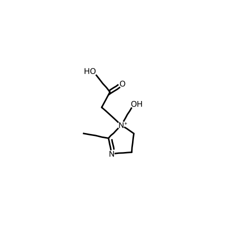 CC1=NCC[N+]1(O)CC(=O)O